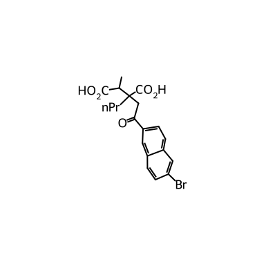 CCCC(CC(=O)c1ccc2cc(Br)ccc2c1)(C(=O)O)C(C)C(=O)O